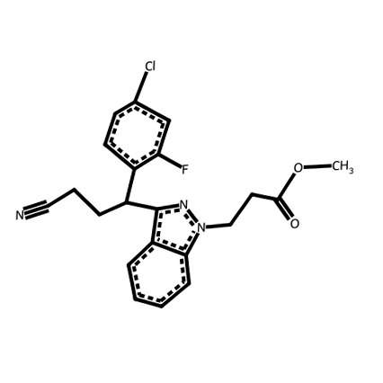 COC(=O)CCn1nc(C(CCC#N)c2ccc(Cl)cc2F)c2ccccc21